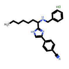 CCCCCCC(NCc1ccccc1)c1nc(-c2ccc(C#N)cc2)c[nH]1.Cl